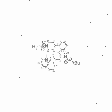 CN(CC1Cc2c(cccc2N2CCN(S(C)(=O)=O)CC2)CN1C(=O)OC(C)(C)C)[C@H]1CCCc2cccnc21